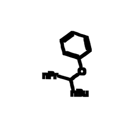 C[CH]CCC(CCC)Oc1ccccc1